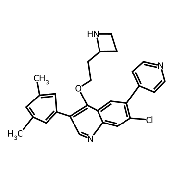 Cc1cc(C)cc(-c2cnc3cc(Cl)c(-c4ccncc4)cc3c2OCCC2CCN2)c1